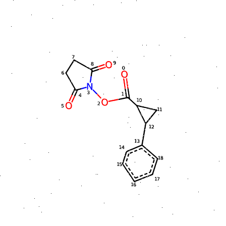 O=C(ON1C(=O)CCC1=O)C1CC1c1ccccc1